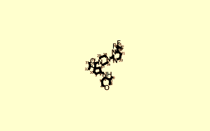 CC1COCCC1NC1CC[C@@](C(=O)N2CCN(C3=NCCC(C(F)(F)F)=N3)CC2)(C(C)C)C1